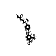 C=CC(=O)CCCN(CC)c1ccc(N=Nc2ccc(N=O)c(C(F)(F)F)c2)cc1